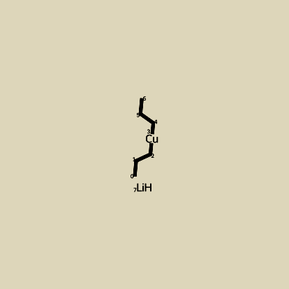 CC[CH2][Cu][CH2]CC.[LiH]